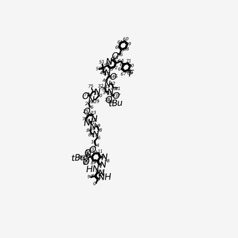 Cc1[nH]nc(Nc2ncnc3cc(OCCCN4CCN(c5ncc(OCCN6CCN(C[C@H]7CN(C(=O)OC(C)(C)C)[C@H](C)CN7CC(=O)N7CC(C)(C)c8nc(OCc9ccccc9)c(Cc9ccc(F)cc9)cc87)[C@H](C)C6=O)cn5)CC4)c(S(=O)(=O)C(C)(C)C)cc23)c1C